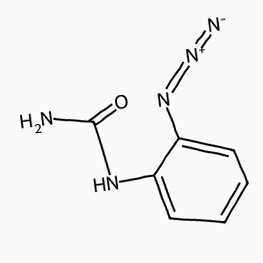 [N-]=[N+]=Nc1ccccc1NC(N)=O